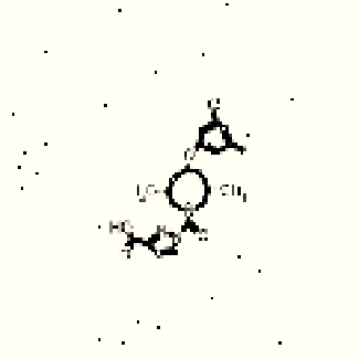 C[C@@H]1C[C@H](Oc2cc(F)cc(Cl)c2)C[C@H](C)CN(C(=O)n2ccc(C(=O)O)n2)C1